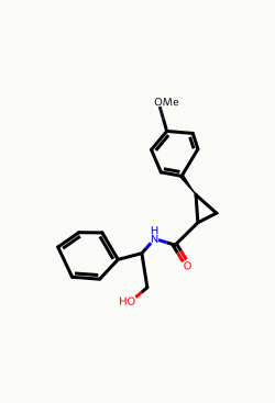 COc1ccc([C@H]2CC2C(=O)NC(CO)c2ccccc2)cc1